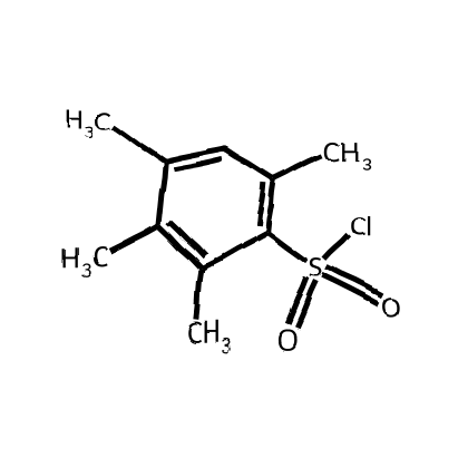 Cc1cc(C)c(S(=O)(=O)Cl)c(C)c1C